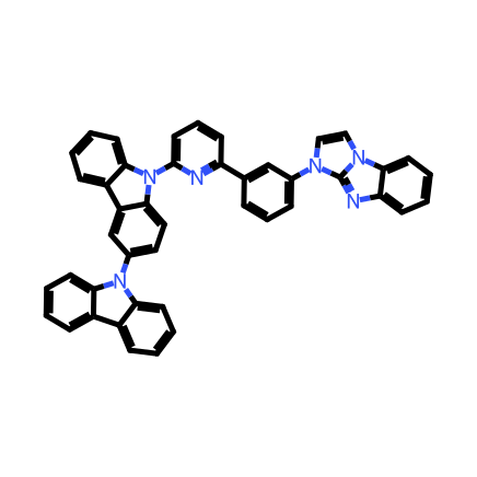 c1cc(-c2cccc(-n3c4ccccc4c4cc(-n5c6ccccc6c6ccccc65)ccc43)n2)cc(-n2ccn3c4ccccc4nc23)c1